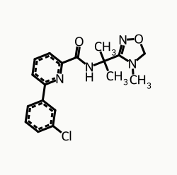 CN1CON=C1C(C)(C)NC(=O)c1cccc(-c2cccc(Cl)c2)n1